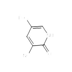 Cc1c[nH]c(=O)c(C#N)c1